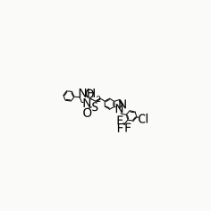 N[C@H](CN1C(=O)S/C(=C\c2ccc3c(cnn3Cc3ccc(Cl)cc3C(F)(F)F)c2)C1=O)c1ccccc1